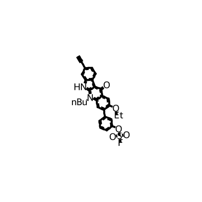 C#Cc1ccc2c(c1)[nH]c1c2c(=O)c2cc(OCC)c(-c3cccc(OS(=O)(=O)F)c3)cc2n1CCCC